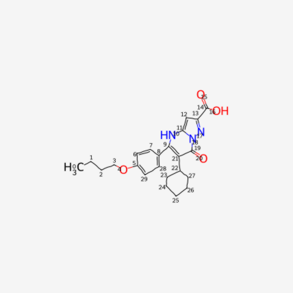 CCCCOc1ccc(-c2[nH]c3cc(C(=O)O)nn3c(=O)c2C2CCCCC2)cc1